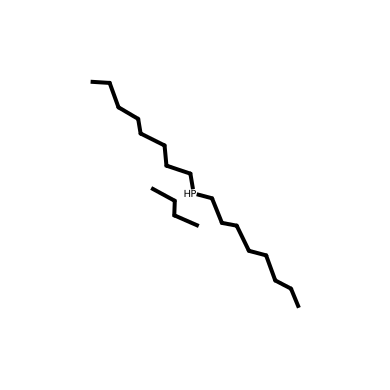 CCCC.CCCCCCCCPCCCCCCCC